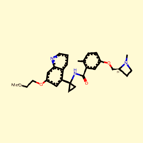 COCCOc1cc(C2(NC(=O)c3cc(OC[C@@H]4CCN4C)ccc3C)CC2)c2cccnc2c1